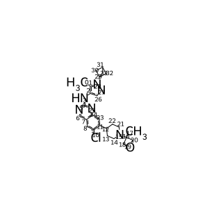 Cc1c(Nc2ncc3cc(Cl)c(C4CCN(C5(C)COC5)CC4)cc3n2)cnn1C12CC(C1)C2